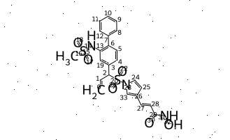 C=CC(c1ccc(-c2ccccc2)c(NS(C)(=O)=O)c1)S(=O)(=O)n1ccc(/C=C/C(=O)NO)c1